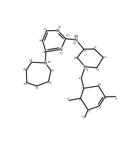 CC1=CC(C)C(C)C(CN2CCCC(Nc3nccc(N4CCCCCC4)n3)C2)C1